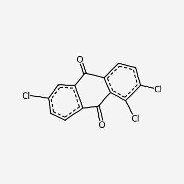 O=C1c2cc(Cl)ccc2C(=O)c2c1ccc(Cl)c2Cl